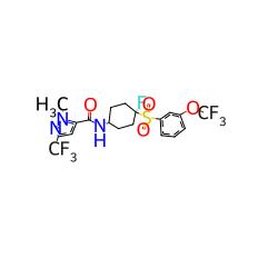 Cn1nc(C(F)(F)F)cc1C(=O)N[C@H]1CC[C@](F)(S(=O)(=O)c2cccc(OC(F)(F)F)c2)CC1